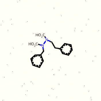 O=C(O)N(CCc1ccccc1)N(Cc1ccccc1)C(=O)O